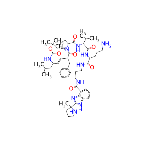 CC(C)CC(/C=C/C(Cc1ccccc1)C(=O)N1CCCC1C(=O)NC(C(=O)NC(CCCN)C(=O)NCCCNC(=O)c1cccc2[nH]c(C3(C)CCCN3)nc12)C(C)C)NC(=O)OC(C)(C)C